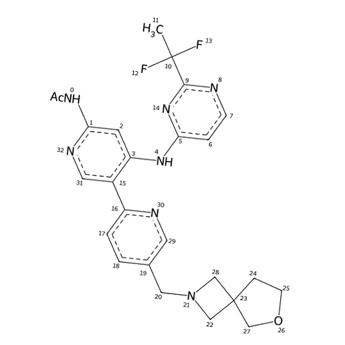 CC(=O)Nc1cc(Nc2ccnc(C(C)(F)F)n2)c(-c2ccc(CN3CC4(CCOC4)C3)cn2)cn1